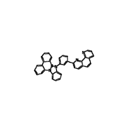 c1cc(-c2ccc3ccc4cccnc4c3n2)cc(N2B3c4ccccc4-c4ccccc4N3c3ccccc32)c1